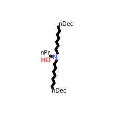 CCCCCCCCCCCCCCCCCCN(CCCCCCCCCCCCCCCCCC)C(O)CCC